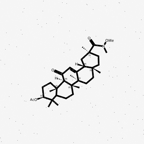 CON(C)C(=O)[C@@]1(C)CC[C@]2(C)CC[C@]3(C)C(=CC(=O)[C@@H]4[C@@]5(C)CC[C@H](OC(C)=O)C(C)(C)C5CC[C@]43C)[C@@H]2C1